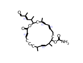 C/C(C=O)=C\C(C)C1C/C(C)=C/C=C/CCC(OC(N)=O)C(C)/C=C/C(C)CCC/C=C/C(=O)O1